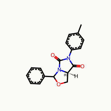 Cc1ccc(N2C(=O)[C@H]3COC(c4ccccc4)N3C2=O)cc1